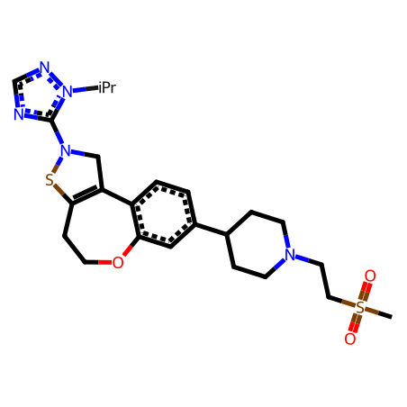 CC(C)n1ncnc1N1CC2=C(CCOc3cc(C4CCN(CCS(C)(=O)=O)CC4)ccc32)S1